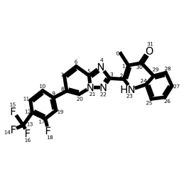 Cc1c(-c2nc3ccc(-c4ccc(C(F)(F)F)c(F)c4)cn3n2)[nH]c2ccccc2c1=O